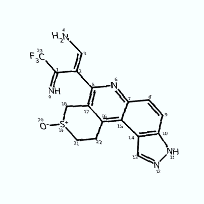 N=C(/C(=C\N)c1nc2ccc3[nH]ncc3c2c2c1C[S+]([O-])CC2)C(F)(F)F